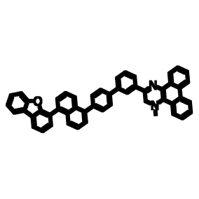 CN1CC(c2cccc(-c3ccc(-c4cccc5c(-c6cccc7c6oc6ccccc67)cccc45)cc3)c2)=Nc2c1c1ccccc1c1ccccc21